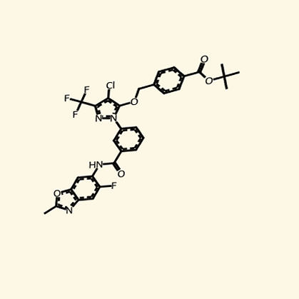 Cc1nc2cc(F)c(NC(=O)c3cccc(-n4nc(C(F)(F)F)c(Cl)c4OCc4ccc(C(=O)OC(C)(C)C)cc4)c3)cc2o1